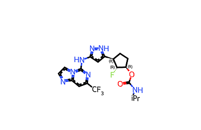 CC(C)NC(=O)O[C@@H]1CC[C@H](c2cc(Nc3nc(C(F)(F)F)cc4nccn34)n[nH]2)[C@H]1F